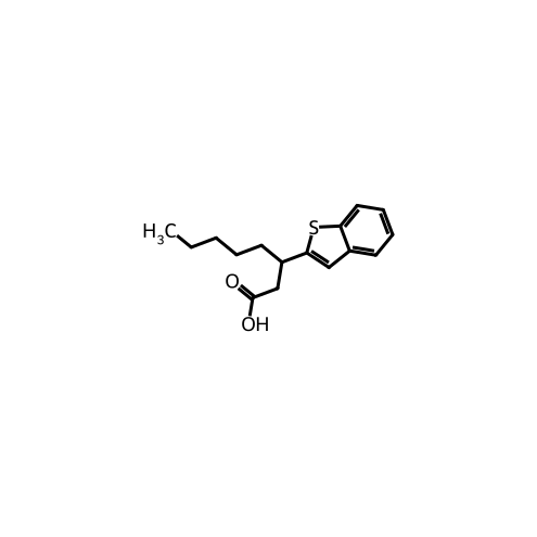 CCCCCC(CC(=O)O)c1cc2ccccc2s1